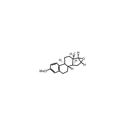 COc1ccc2c(c1)CC[C@@H]1[C@@H]2CC[C@]2(C)[C@@H]3O[C@@H]3C[C@@H]12